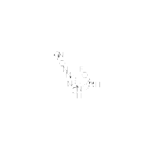 CC(C)OC1(C(=O)Nc2ccc3[nH]nc(-c4ccc(F)cc4)c3c2)CCN(CC(=O)N2CCN(c3ccc(-c4ncccn4)cc3)CC2)C1